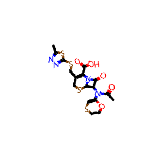 CC(=O)N(C1=CSCCO1)C1C(=O)N2C(C(=O)O)=C(CSc3nnc(C)s3)CSC12